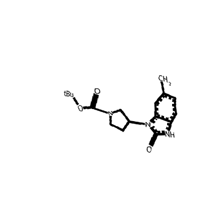 Cc1ccc2[nH]c(=O)n(C3CCN(C(=O)OC(C)(C)C)C3)c2c1